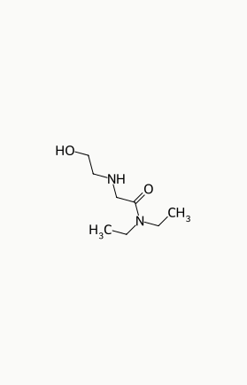 CCN(CC)C(=O)CNCCO